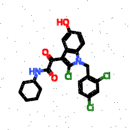 O=C(NC1CCCCC1)C(=O)c1c(Cl)n(Cc2ccc(Cl)cc2Cl)c2ccc(O)cc12